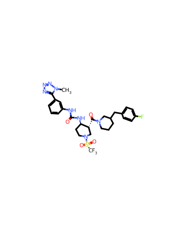 Cn1nnnc1-c1cccc(NC(=O)N[C@@H]2CCN(S(=O)(=O)C(F)(F)F)C[C@H]2C(=O)N2CCCC(Cc3ccc(F)cc3)C2)c1